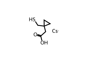 O=C(O)CC1(CS)CC1.[Cs]